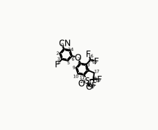 N#Cc1cc(F)cc(Oc2ccc3c(c2C(F)F)CC(F)(F)S3(=O)=O)c1